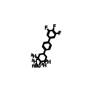 [2H]C1([2H])CC(c2ccc(-c3cc(F)c(F)c(F)c3)cc2)CC([2H])([2H])C1CCCC